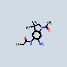 CCC(=O)Nc1cc2c(cc1N)N(C(C)=O)CC2(C)C